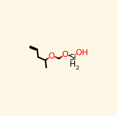 C=CCC(C)OCO[SiH2]O